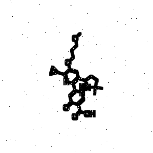 COCCCOc1cc(C2CCC(C)(C)N2)c(-c2cc(=O)c(C(=O)O)c[nH]2)nc1C1CC1